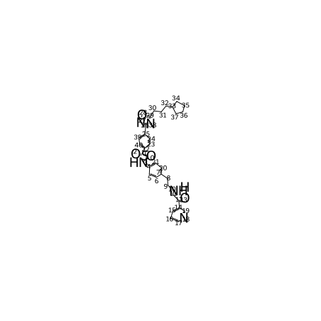 O=S(=O)(Nc1ccc(CCNC[C@H](O)c2cccnc2)cc1)c1ccc(-c2noc(CCCC3CCCC3)n2)cc1